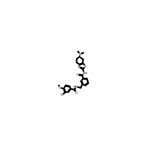 COc1ccc(C(=O)NCc2cccc(C(=O)Nc3nc4c(s3)C[C@H](N(C)C)CC4)c2)cc1Cl